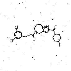 O=C(OCc1cc(Cl)cc(Cl)c1)N1CCCn2nc(C(=O)N3CCC(F)CC3)cc2C1